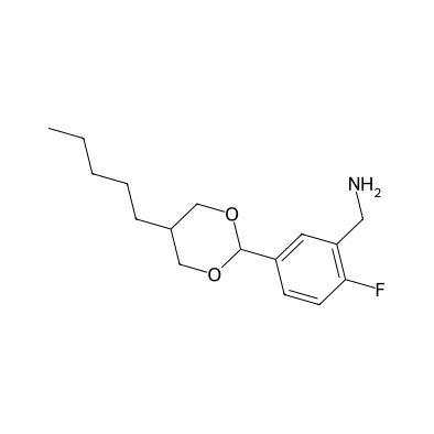 CCCCCC1COC(c2ccc(F)c(CN)c2)OC1